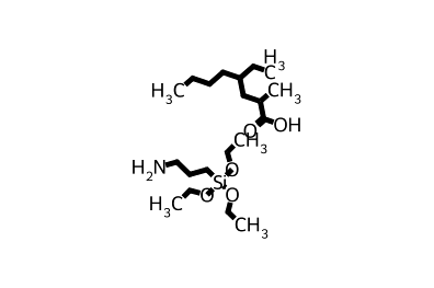 CCCCC(CC)CC(C)C(=O)O.CCO[Si](CCCN)(OCC)OCC